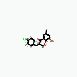 Cc1cc(Br)c2c(c1)C(=O)C(Cc1ccc(Cl)c(Cl)c1)CO2